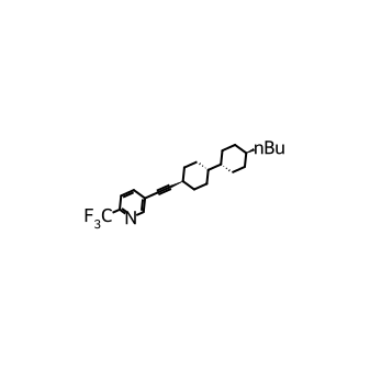 CCCC[C@H]1CC[C@H]([C@H]2CC[C@H](C#Cc3ccc(C(F)(F)F)nc3)CC2)CC1